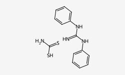 N=C(Nc1ccccc1)Nc1ccccc1.NC(=S)S